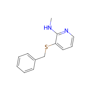 CNc1ncccc1SCc1ccccc1